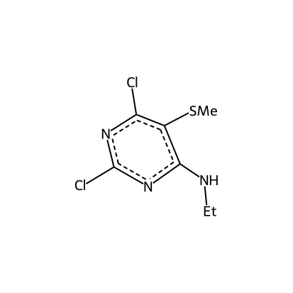 CCNc1nc(Cl)nc(Cl)c1SC